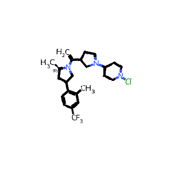 C=C(C1CCN(C2CCN(Cl)CC2)C1)N1CC(c2ccc(C(F)(F)F)cc2C)C[C@H]1C